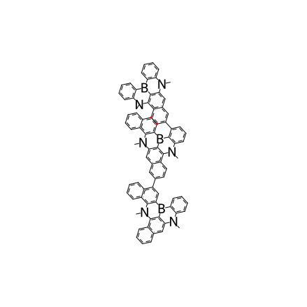 CN1c2ccccc2B2c3ccccc3N(C)c3c2c1cc1cc(-c2cccc4c2B2c5ccc6ccccc6c5N(C)c5cc6cc(-c7cc8c(c9ccccc79)N(C)c7c9c(cc%10ccccc7%10)N(C)c7ccccc7B89)ccc6c(c52)N4C)ccc31